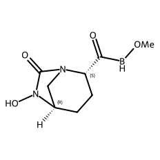 COBC(=O)[C@@H]1CC[C@@H]2CN1C(=O)N2O